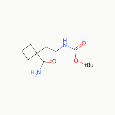 CC(C)(C)OC(=O)NCCC1(C(N)=O)CCC1